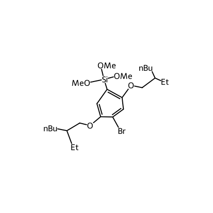 CCCCC(CC)COc1cc([Si](OC)(OC)OC)c(OCC(CC)CCCC)cc1Br